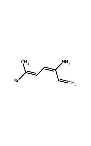 C=C/C(N)=C\C=C(/C)Br